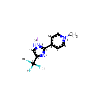 C[n+]1ccc(-c2nc(C(F)(F)F)c[nH]2)cc1.[I-]